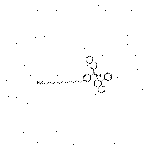 CCCCCCCCCCCCc1ccc(N(Nc2ccc3ccccc3c2-c2ccccc2)c2ccc3ccccc3c2)cc1